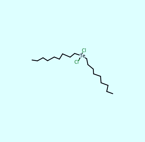 CCCCCCCCC[Te](Cl)(Cl)CCCCCCCCC